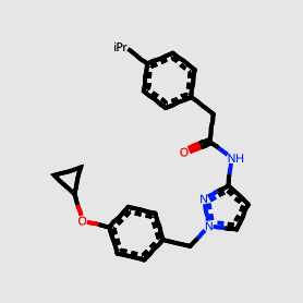 CC(C)c1ccc(CC(=O)Nc2ccn(Cc3ccc(OC4CC4)cc3)n2)cc1